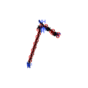 CNCCCC[C@H](NC(=O)[C@@H](NC(=O)CCOCCOCCOCCOCCOCCOCCOCCOCCOCCN=[N+]=[N-])C(C)C)C(=O)Nc1ccc(COC(=O)Oc2ccc([N+](=O)[O-])cc2)cc1